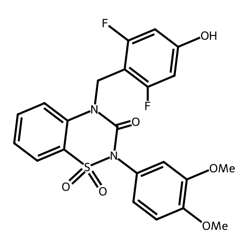 COc1ccc(N2C(=O)N(Cc3c(F)cc(O)cc3F)c3ccccc3S2(=O)=O)cc1OC